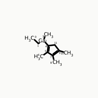 C[CH2][Ga]([CH3])[C]1=C(C)C(C)=C(C)C1